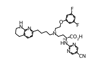 N#Cc1cnc(N[C@@H](CCN(CCCCc2ccc3c(n2)NCCC3)CCOc2cc(F)cc(F)c2)C(=O)O)nc1